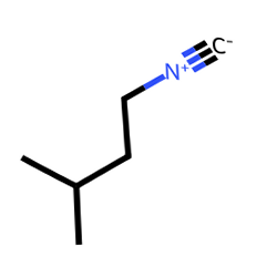 [C-]#[N+]CCC(C)C